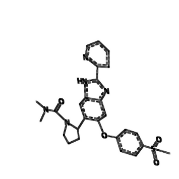 CN(C)C(=O)N1CCCC1c1cc2[nH]c(-c3ccccn3)nc2cc1Oc1ccc(S(C)(=O)=O)cc1